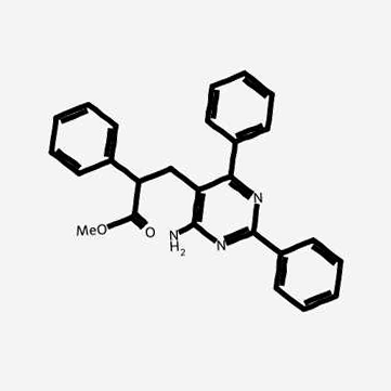 COC(=O)C(Cc1c(N)nc(-c2ccccc2)nc1-c1ccccc1)c1ccccc1